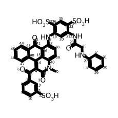 Cn1c(=O)c(C(=O)c2cccc(S(=O)(=O)O)c2)c2c3c(c(Nc4cc(NC(=O)CNc5ccccc5)c(S(=O)(=O)O)cc4S(=O)(=O)O)ccc31)C(=O)c1ccccc1-2